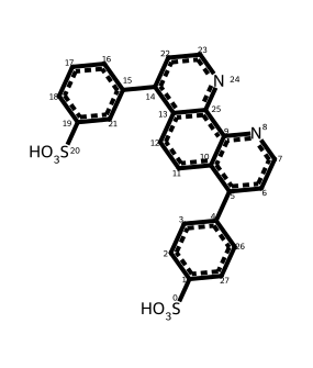 O=S(=O)(O)c1ccc(-c2ccnc3c2ccc2c(-c4cccc(S(=O)(=O)O)c4)ccnc23)cc1